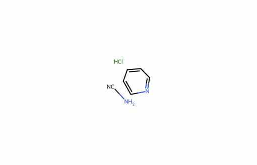 Cl.N#CN.c1ccncc1